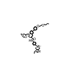 CCCCOCCOc1ccc(-c2ccc3c(c2)C=C(C(=O)Nc2ccc([S+]([O-])Cc4c(C)ncn4CC)cc2)CCN3CC2CN(C)CCO2)cc1